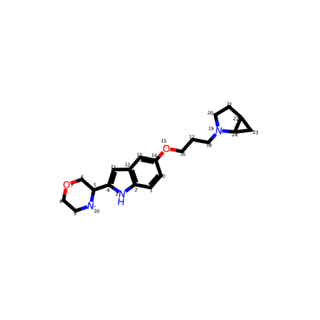 c1cc2[nH]c(C3COCC[N]3)cc2cc1OCCCN1CCC2CC21